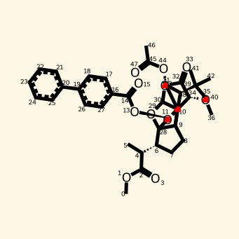 COC(=O)C(C)[C@H]1CCC23C4O[C@H](OC(=O)c5ccc(-c6ccccc6)cc5)C12OC1OC(=O)[C@H](OC)C13[C@H](C(C)(C)C)[C@H]4OC(C)=O